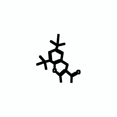 CC(=O)C1=C(C)Oc2c(cc(C(C)(C)C)cc2C(C)(C)C)C1